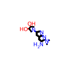 CN(C)c1nc2ncc(N3CC(O)C(O)C3)cc2cc1N